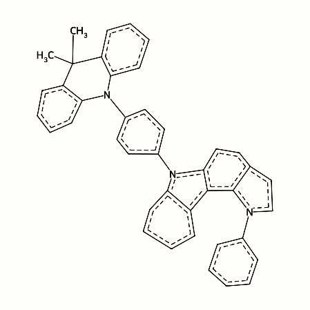 CC1(C)c2ccccc2N(c2ccc(-n3c4ccccc4c4c5c(ccc43)ccn5-c3ccccc3)cc2)c2ccccc21